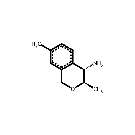 Cc1ccc2c(c1)CO[C@H](C)[C@H]2N